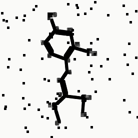 CSC(=CCc1ccc(F)cc1F)SC